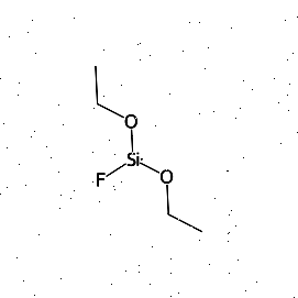 CCO[Si](F)OCC